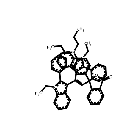 CCCN(CCC)c1ccc(C2(C=C(c3c(-c4ccccc4)n(CC)c4ccccc34)c3c(-c4ccccc4)n(CC)c4ccccc34)OC(=O)c3ccccc32)cc1